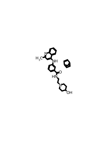 C1=CC2=CC=C1C2.Cc1cc(Nc2cccc(C(=O)NCCN3CCC(O)CC3)c2)c2ccccc2n1